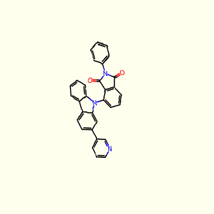 O=C1c2cccc(-n3c4ccccc4c4ccc(-c5cccnc5)cc43)c2C(=O)N1c1ccccc1